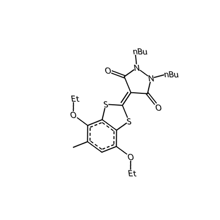 CCCCN1C(=O)C(=C2Sc3c(OCC)cc(C)c(OCC)c3S2)C(=O)N1CCCC